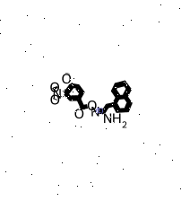 COc1ccc(C(=O)O/N=C(/N)Cc2cccc3ccccc23)cc1[N+](=O)[O-]